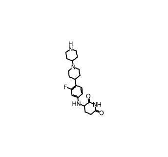 O=C1CCC(Nc2ccc(C3CCN(C4CCNCC4)CC3)c(F)c2)C(=O)N1